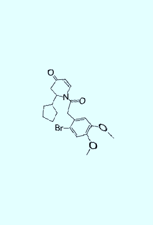 COc1cc(Br)c(CC(=O)N2C=CC(=O)CC2C2CCCC2)cc1OC